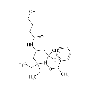 CCC1(CC)CC(NC(=O)CCCO)CC(C)(C)N1OC(C)c1ccccc1